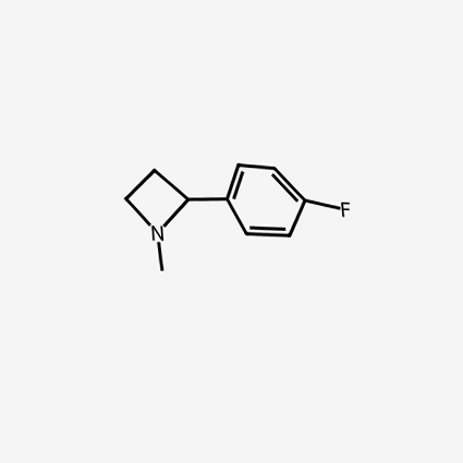 CN1CCC1c1ccc(F)cc1